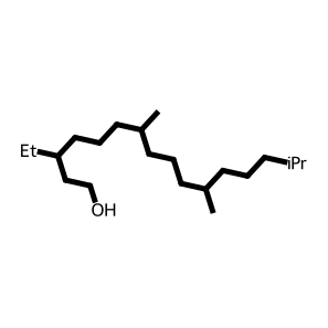 CCC(CCO)CCCC(C)CCCC(C)CCCC(C)C